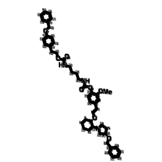 COc1cc(CCO[C@H]2CCCCC2N2CC[C@@H](OCc3ccccc3)C2)ccc1OC(=O)NCCCCNC(=O)OCCc1ccc(OCc2ccccc2)cc1